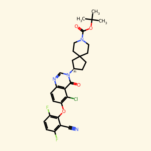 CC(C)(C)OC(=O)N1CCC2(CC[C@@H](n3cnc4ccc(Oc5c(F)ccc(F)c5C#N)c(Cl)c4c3=O)C2)CC1